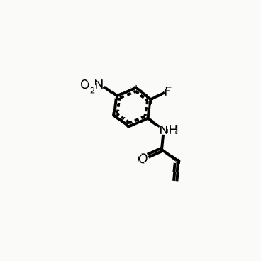 C=CC(=O)Nc1ccc([N+](=O)[O-])cc1F